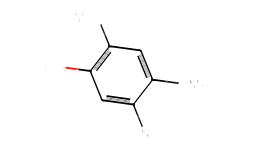 CSc1cc(SC)c([N+](=O)[O-])cc1O